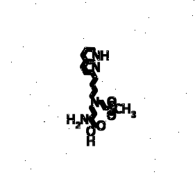 CS(=O)(=O)CCN(CCCCc1ccc2c(n1)NCCC2)CC[C@H](N)C(=O)O